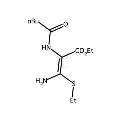 CCCCC(=O)N/C(C(=O)OCC)=C(\N)SCC